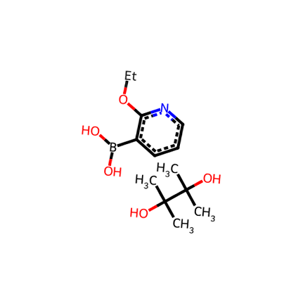 CC(C)(O)C(C)(C)O.CCOc1ncccc1B(O)O